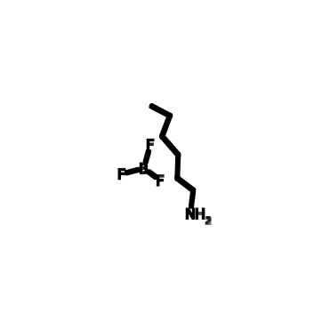 CCCCCCN.FB(F)F